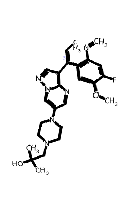 C=Nc1cc(F)c(OC)cc1/C(=C\C)c1cnn2cc(N3CCN(CC(C)(C)O)CC3)cnc12